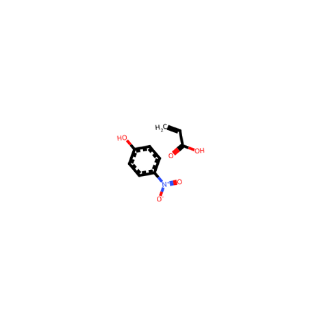 C=CC(=O)O.O=[N+]([O-])c1ccc(O)cc1